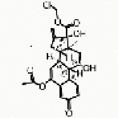 C=C1C[C@H]2[C@@H]3C=C(OC(C)=O)C4=CC(=O)C=C[C@]4(C)[C@H]3[C@@H](O)C[C@]2(C)[C@@]1(O)C(=O)OCCl